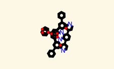 c1ccc(-c2ccc3c(c2)c2cc(-c4ccccc4)ccc2n3-c2c(-c3ccncc3)ccc(-c3ccncc3)c2-n2c3ccc(-c4ccccc4)cc3c3cc(-c4ccccc4)ccc32)cc1